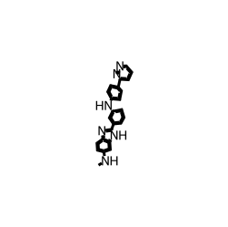 CNc1ccc2nc(-c3cccc(Nc4ccc(-c5cccnn5)cc4)c3)[nH]c2c1